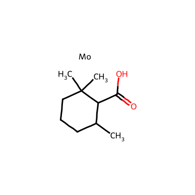 CC1CCCC(C)(C)C1C(=O)O.[Mo]